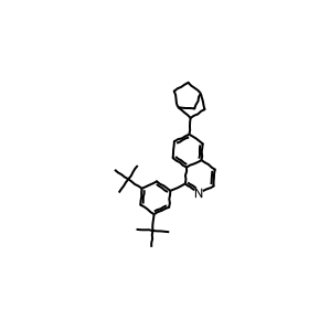 CC(C)(C)c1cc(-c2nccc3cc(C4CC5CCC4C5)ccc23)cc(C(C)(C)C)c1